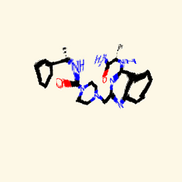 CC(C)[C@H](Nc1nc(CN2CCN(C(=O)N[C@@H](C)c3ccccc3)CC2)nc2ccccc12)C(N)=O